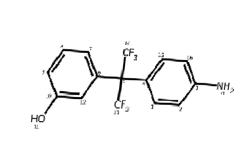 Nc1ccc(C(c2cccc(O)c2)(C(F)(F)F)C(F)(F)F)cc1